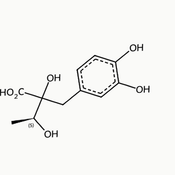 C[C@H](O)C(O)(Cc1ccc(O)c(O)c1)C(=O)O